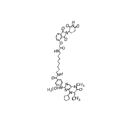 CCC1C(=O)N(C)c2cnc(Nc3ccc(C(=O)NCCCCCCCCNC(=O)COc4cccc5c4C(=O)N(C4CCC(=O)NC4=O)C5=O)cc3OC)nc2N1C1CCCC1